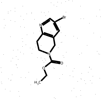 CCOC(=O)N1CCc2ncc(Br)cc2C1